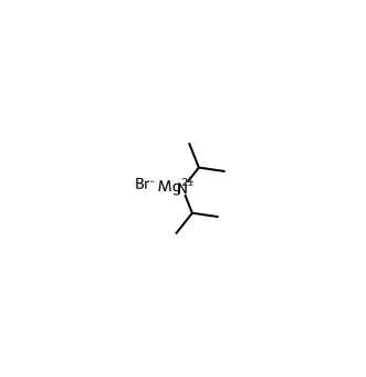 CC(C)[N-]C(C)C.[Br-].[Mg+2]